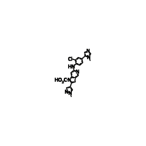 Cn1cc(-c2cc3cnc(Nc4ccc(-c5cncn5C)cc4Cl)cc3n2C(=O)O)cn1